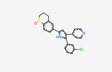 [O-][S+]1CCCc2cc(-c3cc(-c4ccncc4)c(-c4cccc(Cl)c4)[nH]3)ccc21